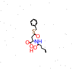 C=CCCC(=O)NC(CC(=O)SCc1ccccc1)C(=O)O